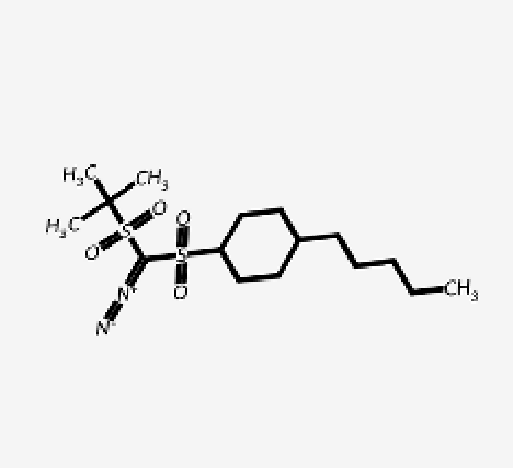 CCCCCC1CCC(S(=O)(=O)C(=[N+]=[N-])S(=O)(=O)C(C)(C)C)CC1